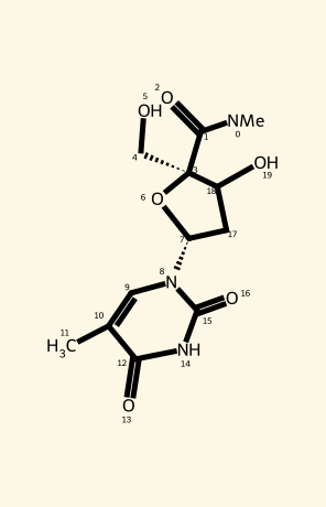 CNC(=O)[C@]1(CO)O[C@@H](n2cc(C)c(=O)[nH]c2=O)CC1O